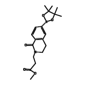 COC(=O)CCN1CCc2cc(B3OC(C)(C)C(C)(C)O3)ccc2C1=O